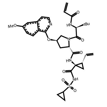 C=CC(=O)N[C@H](C(=O)N1C[C@H](Oc2nccc3cc(OC)ccc23)C[C@H]1C(=O)N[C@]1(C(=O)NS(=O)(=O)C2CC2)C[C@H]1C=C)C(C)(C)C